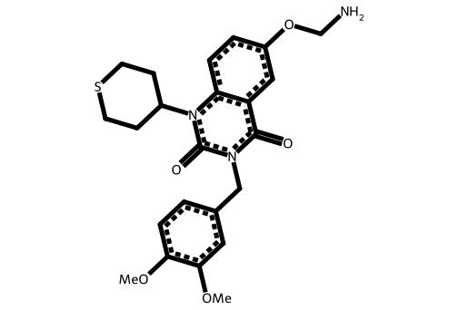 COc1ccc(Cn2c(=O)c3cc(OCN)ccc3n(C3CCSCC3)c2=O)cc1OC